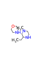 C1COCCN1.CCC1CN(C)CCN1